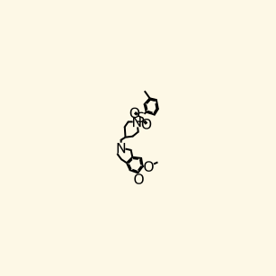 COc1cc2c(cc1OC)CN(CC1CCN(S(=O)(=O)c3cccc(C)c3)CC1)CC2